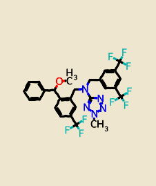 COC(c1ccccc1)c1ccc(C(F)(F)F)cc1CN(Cc1cc(C(F)(F)F)cc(C(F)(F)F)c1)c1nnn(C)n1